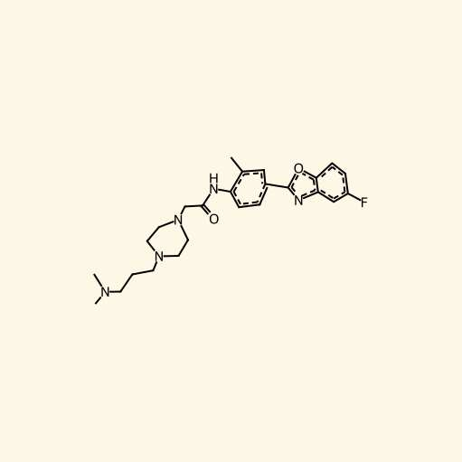 Cc1cc(-c2nc3cc(F)ccc3o2)ccc1NC(=O)CN1CCN(CCCN(C)C)CC1